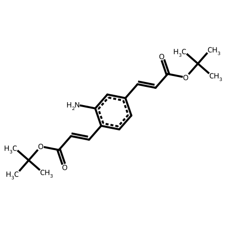 CC(C)(C)OC(=O)/C=C/c1ccc(/C=C/C(=O)OC(C)(C)C)c(N)c1